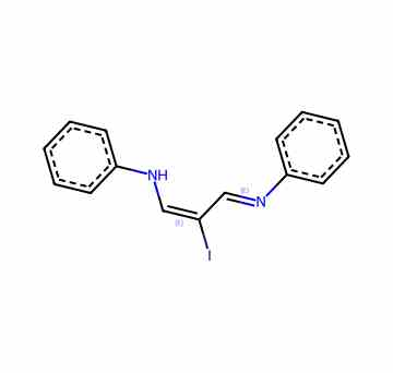 IC(/C=N/c1ccccc1)=C/Nc1ccccc1